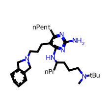 CCCCCc1nc(N)nc(NC(CCC)CCCN(C)C(C)(C)C)c1CCCN1Cc2ccccc2C1